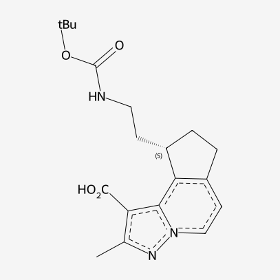 Cc1nn2ccc3c(c2c1C(=O)O)[C@H](CCNC(=O)OC(C)(C)C)CC3